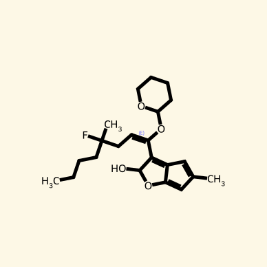 CCCCC(C)(F)C/C=C(/OC1CCCCO1)C1=C2C=C(C)C=C2OC1O